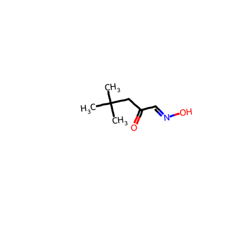 CC(C)(C)CC(=O)C=NO